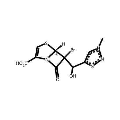 Cn1cc(C(O)C2(Br)C(=O)N3C(C(=O)O)=CS[C@@H]32)nn1